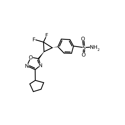 NS(=O)(=O)c1ccc([C@@H]2[C@@H](c3nc(C4CCCC4)no3)C2(F)F)cc1